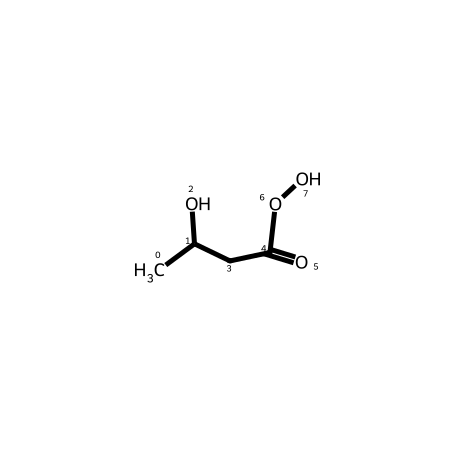 CC(O)CC(=O)OO